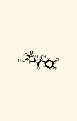 CN(C(=O)[C@@H]1CN(C)S(=O)(=O)N1)c1ccc(F)c(Cl)c1